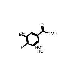 [B+2]c1cc(C(=O)OC)ccc1F.[OH-].[OH-]